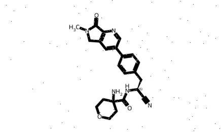 CN1Cc2cc(-c3ccc(C[C@@H](C#N)NC(=O)C4(N)CCOCC4)cc3)cnc2C1=O